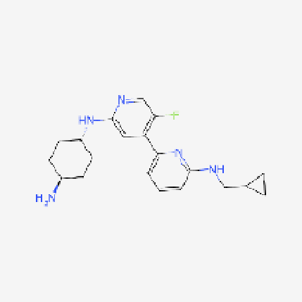 N[C@H]1CC[C@H](Nc2cc(-c3cccc(NCC4CC4)n3)c(F)cn2)CC1